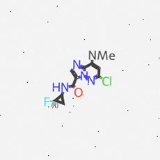 CNc1cc(Cl)nn2c(C(=O)NC3C[C@H]3F)cnc12